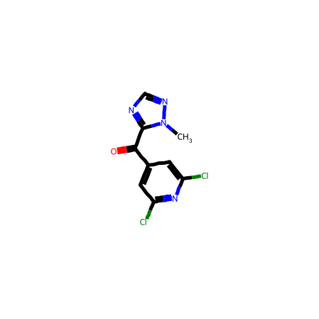 Cn1ncnc1C(=O)c1cc(Cl)nc(Cl)c1